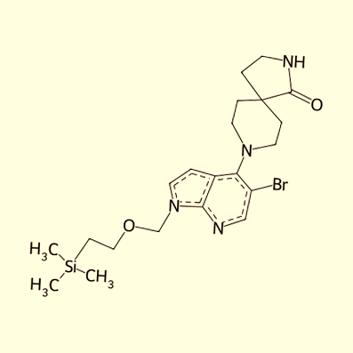 C[Si](C)(C)CCOCn1ccc2c(N3CCC4(CCNC4=O)CC3)c(Br)cnc21